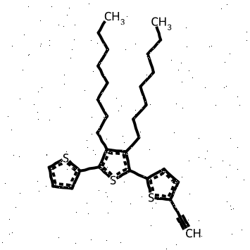 C#Cc1ccc(-c2sc(-c3cccs3)c(CCCCCCCC)c2CCCCCCCC)s1